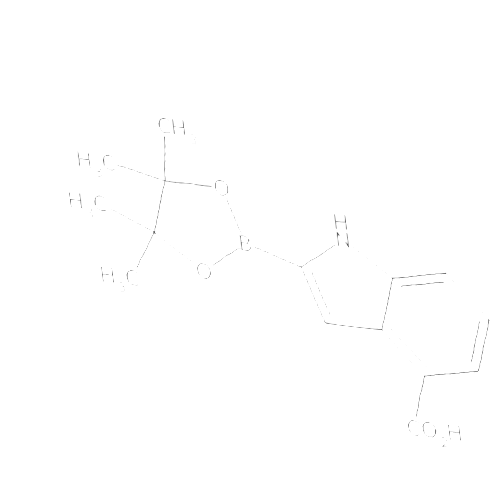 CC1(C)OB(c2cc3c(C(=O)O)cccc3[nH]2)OC1(C)C